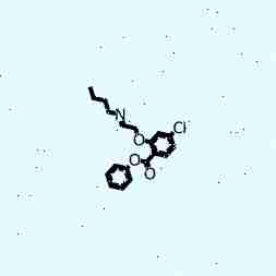 CCCCN=CCOc1cc(Cl)ccc1C(=O)Oc1ccccc1